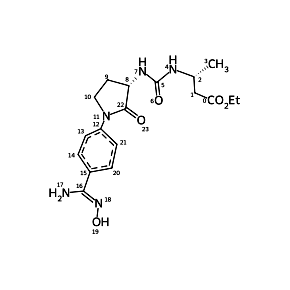 CCOC(=O)C[C@@H](C)NC(=O)N[C@H]1CCN(c2ccc(C(N)=NO)cc2)C1=O